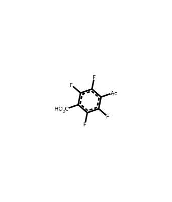 CC(=O)c1c(F)c(F)c(C(=O)O)c(F)c1F